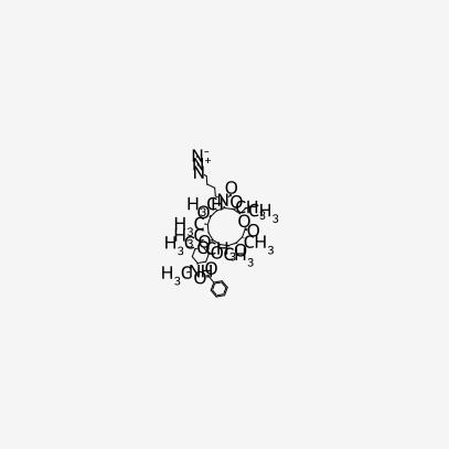 CC[C@H]1OC(=O)[C@H](C)C(=O)[C@H](C)[C@@H](O[C@@H]2O[C@H](C)C[C@H](NC)[C@H]2OC(=O)c2ccccc2)[C@@](C)(OC)C[C@@H](C)C(=O)[C@H](C)[C@H]2N(CCCCN=[N+]=[N-])C(=O)O[C@]12C